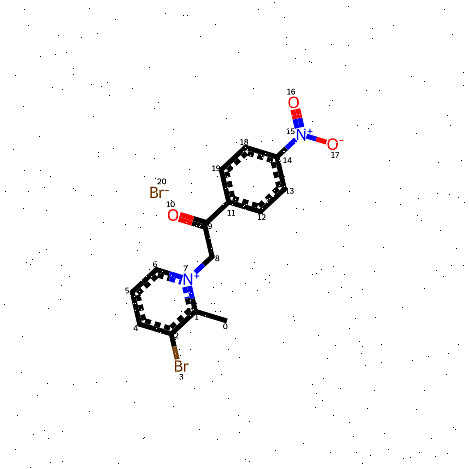 Cc1c(Br)ccc[n+]1CC(=O)c1ccc([N+](=O)[O-])cc1.[Br-]